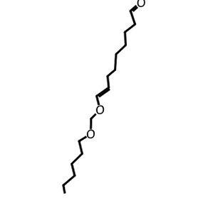 CCCCCCOCOC=CCCCCCCC=O